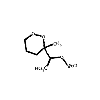 CCCCCOC(C(=O)O)C1(C)CCCOO1